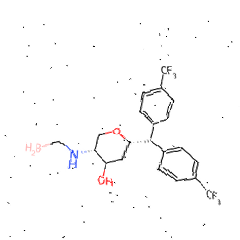 BCN[C@@H]1CO[C@H](C(c2ccc(C(F)(F)F)cc2)c2ccc(C(F)(F)F)cc2)CC1O